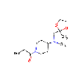 CN(CC1(C)OCCO1)C1CCN(C(=O)CC(C)(C)C)CC1